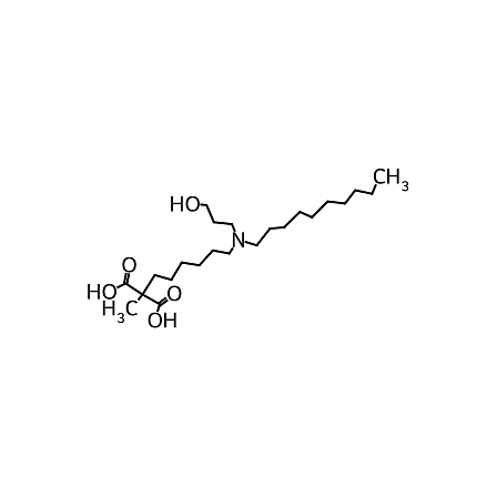 CCCCCCCCCCN(CCCO)CCCCCCC(C)(C(=O)O)C(=O)O